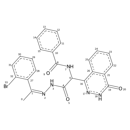 CC(=NNC(=O)C(NC(=O)c1ccccc1)c1n[nH]c(=O)c2ccccc12)c1ccccc1Br